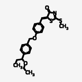 CCOC(CC)c1ccc(COc2ccc(/C=C3\SC(SC)=NC3=O)cc2)cc1